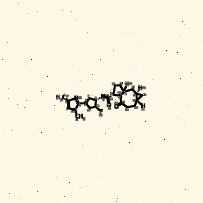 Cc1cn(C)c(N2C[C@H](NC(=O)[C@@H]3CC[C@@H]4C[C@H]5C[C@@H]5CCC(=O)N43)[C@@H](F)C2)n1